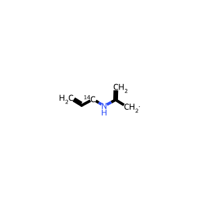 [CH2]C(=C)N[14CH2]C=C